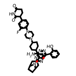 Nc1nnc(-c2ccccc2O)cc1N1CC2CCC(C1)N2c1nccc(C2CCC(N3CCN(c4ccc(C5CCC(=O)NC5=O)cc4F)CC3)CC2)n1